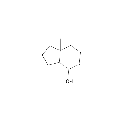 CC12CCCC(O)C1CCC2